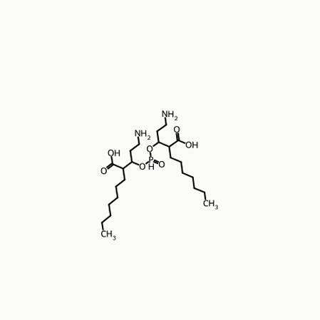 CCCCCCCC(C(=O)O)C(CCN)O[PH](=O)OC(CCN)C(CCCCCCC)C(=O)O